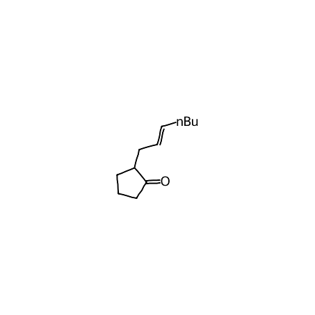 CCCCC=CCC1CCCC1=O